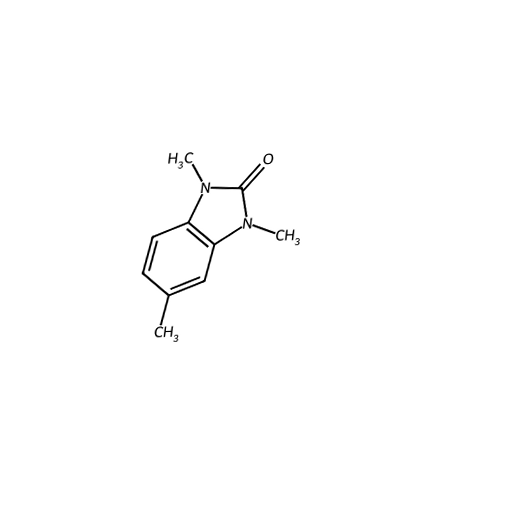 Cc1ccc2c(c1)n(C)c(=O)n2C